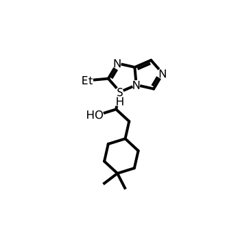 CCC1=Nc2cncn2[SH]1C(O)CC1CCC(C)(C)CC1